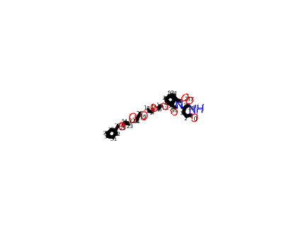 O=C1CCC(N2C(=O)c3cccc(OCCOCCOCCOCCOCc4ccccc4)c3C2=O)C(=O)N1